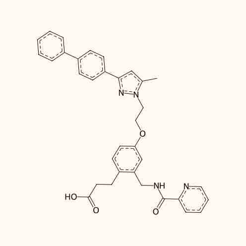 Cc1cc(-c2ccc(-c3ccccc3)cc2)nn1CCOc1ccc(CCC(=O)O)c(CNC(=O)c2ccccn2)c1